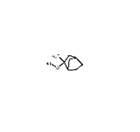 C[CH]OC1(C)CC2CCC1C2